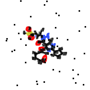 CC(/C=C/S(C)(=O)=O)NC(=O)c1cnc(C2CCCC2)nc1OC1CCCOC1